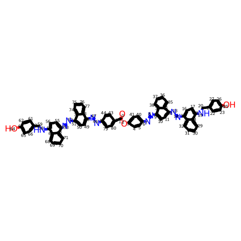 O=C(Oc1ccc(/N=N/c2ccc(/N=N/c3ccc(NCc4ccc(O)cc4)c4ccccc34)c3ccccc23)cc1)c1ccc(/N=N/c2ccc(/N=N/c3ccc(NCc4ccc(O)cc4)c4ccccc34)c3ccccc23)cc1